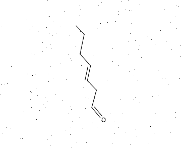 CCCC=CCC=O